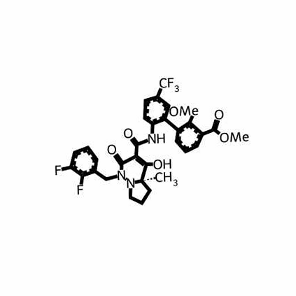 COC(=O)c1cccc(-c2cc(C(F)(F)F)ccc2NC(=O)C2=C(O)[C@@]3(C)CCCN3N(Cc3cccc(F)c3F)C2=O)c1OC